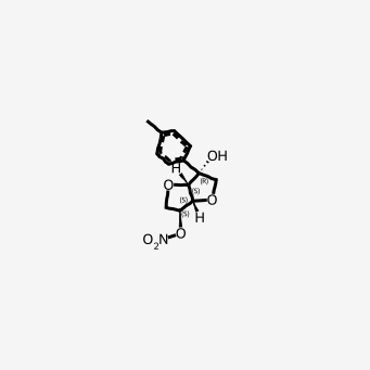 Cc1ccc([C@@]2(O)CO[C@@H]3[C@@H](O[N+](=O)[O-])CO[C@@H]32)cc1